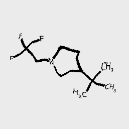 CC(C)(C)C1CCN(CC(F)(F)F)C1